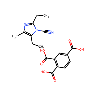 CCc1nc(C)c(CC)n1C#N.O=C(O)c1ccc(C(=O)O)c(C(=O)O)c1